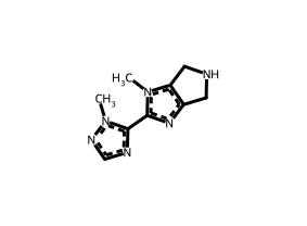 Cn1ncnc1-c1nc2c(n1C)CNC2